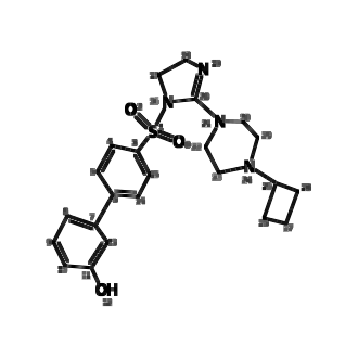 O=S(=O)(c1ccc(-c2cccc(O)c2)cc1)N1CCN=C1N1CCN(C2CCC2)CC1